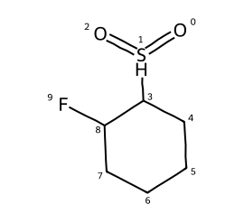 O=[SH](=O)C1CCCCC1F